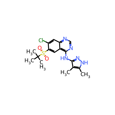 Cc1[nH]nc(Nc2ncnc3cc(Cl)c(S(=O)(=O)C(C)(C)C)cc23)c1C